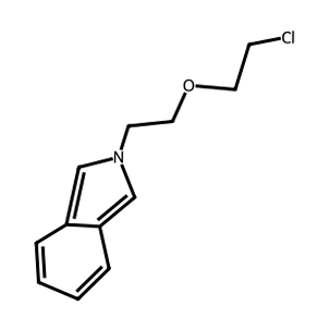 ClCCOCCn1cc2ccccc2c1